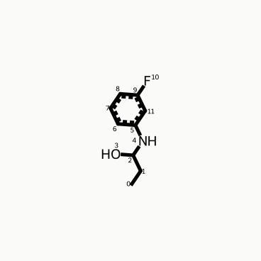 CCC(O)Nc1cccc(F)c1